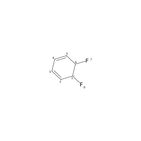 F[C]1C=CC=CC1F